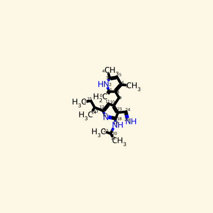 C=C1NC(C)=CC(C)=C1Cc1cc(C(C)CC)nc(NC(C)C)c1C=N